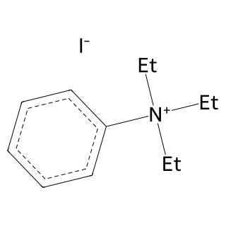 CC[N+](CC)(CC)c1ccccc1.[I-]